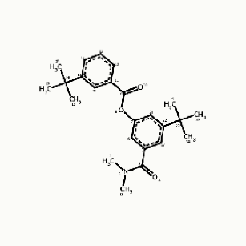 CN(C)C(=O)c1cc(OC(=O)c2cccc(C(C)(C)C)c2)cc(C(C)(C)C)c1